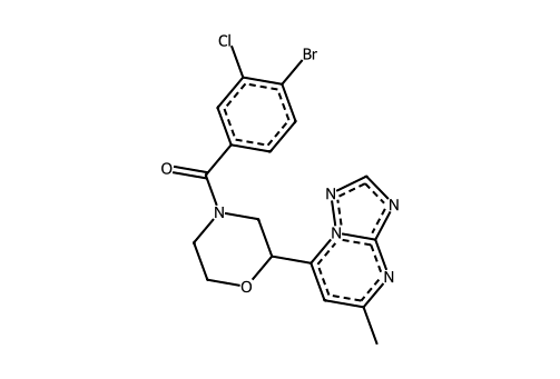 Cc1cc(C2CN(C(=O)c3ccc(Br)c(Cl)c3)CCO2)n2ncnc2n1